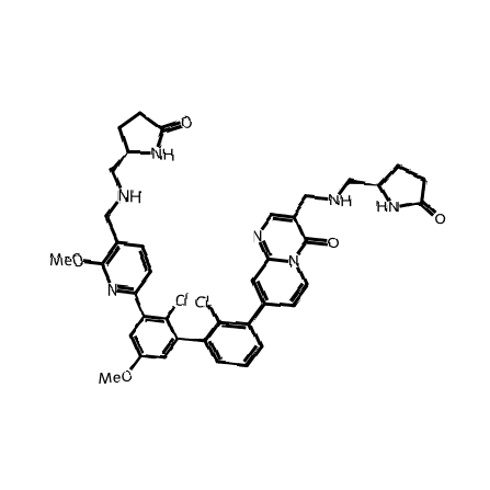 COc1cc(-c2ccc(CNC[C@H]3CCC(=O)N3)c(OC)n2)c(Cl)c(-c2cccc(-c3ccn4c(=O)c(CNC[C@H]5CCC(=O)N5)cnc4c3)c2Cl)c1